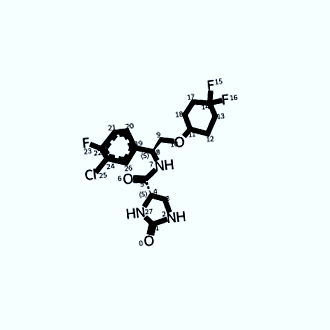 O=C1NC[C@@H](C(=O)N[C@H](COC2CCC(F)(F)CC2)c2ccc(F)c(Cl)c2)N1